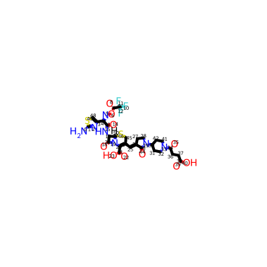 Nc1nc(/C(=N/OC(=O)C(F)(F)F)C(=O)N[C@@H]2C(=O)N3C(C(=O)O)=C(/C=C4\CCN(C5CCN(C(=O)CCC(=O)O)CC5)C4=O)CS[C@H]23)cs1